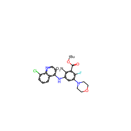 CC(C)(C)OC(=O)c1c(F)c(N2CCOCC2)cc(Nc2ccnc3c(Cl)cccc23)c1[N+](=O)[O-]